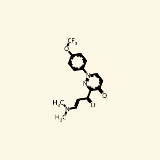 CN(C)C=CC(=O)c1nn(-c2ccc(OC(F)(F)F)cc2)ccc1=O